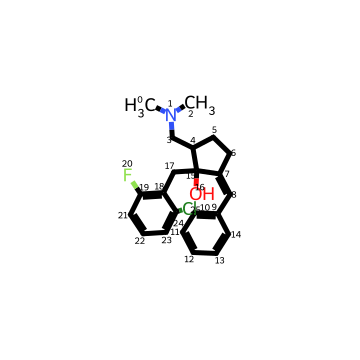 CN(C)CC1CC/C(=C/c2ccccc2)C1(O)Cc1c(F)cccc1Cl